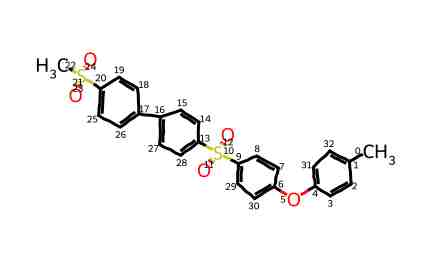 Cc1ccc(Oc2ccc(S(=O)(=O)c3ccc(-c4ccc(S(C)(=O)=O)cc4)cc3)cc2)cc1